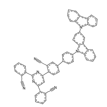 N#Cc1ccccc1-c1cc(-c2ccc(-c3ccc(-n4c5ccccc5c5cc(-n6c7ccccc7c7ccccc76)ccc54)cc3)cc2C#N)nc(-c2ccccc2C#N)n1